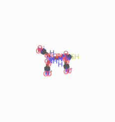 O=C(CC(O)CN/C(=N\C(=O)OCc1ccc([N+](=O)[O-])cc1)NC(=O)OCc1ccc([N+](=O)[O-])cc1)NC1CN(C(=O)[C@@H]2C[C@H](S)CN2C(=O)OCc2ccc([N+](=O)[O-])cc2)C1